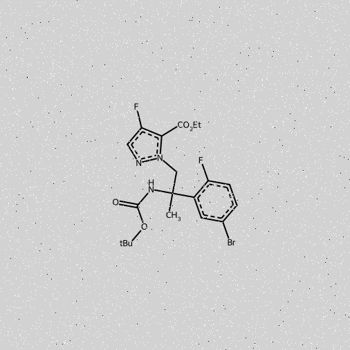 CCOC(=O)c1c(F)cnn1CC(C)(NC(=O)OC(C)(C)C)c1cc(Br)ccc1F